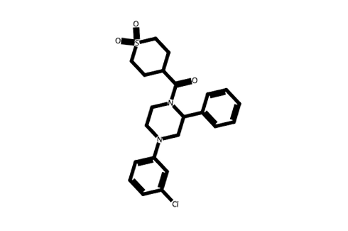 O=C(C1CCS(=O)(=O)CC1)N1CCN(c2cccc(Cl)c2)CC1c1ccccc1